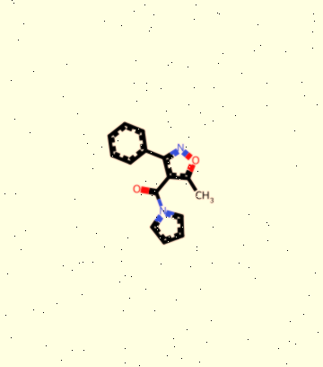 Cc1onc(-c2ccccc2)c1C(=O)n1cccc1